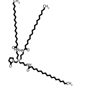 CCCCCCCCCCCCCCCCCC(=O)NCCC[N+](CCCNC(=O)CCCCCCCCCCCCCCCCC)(CCCNC(=O)CCCCCCCCCCCCCCCCC)CN1CCCC1=O